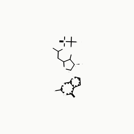 CCC(O)(CC)P(=O)(O)OC(C)CC1O[C@@H](n2ccc3c(=O)[nH]c(N)nc32)[C@H](O)C1O